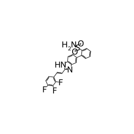 NS(=O)(=O)c1ccccc1-c1ccc2[nH]c(/C=C/c3ccc(F)c(F)c3F)nc2c1